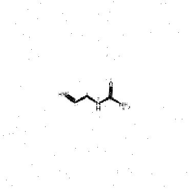 N=CCNC(N)=O